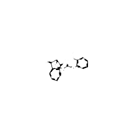 O=C(Nc1ccccc1O)NN1c2cccc3c2C(=O)C1C3=O